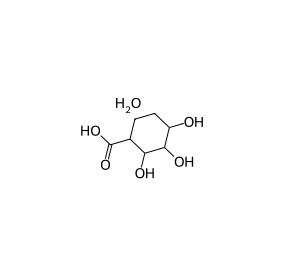 O.O=C(O)C1CCC(O)C(O)C1O